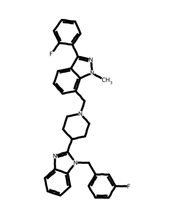 Cn1nc(-c2ccccc2F)c2cccc(CN3CCC(c4nc5ccccc5n4Cc4cccc(F)c4)CC3)c21